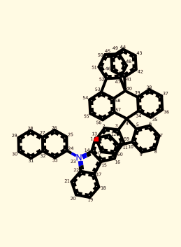 c1ccc(C2(c3ccccc3-c3ccc4c(c3)c3ccccc3n4-c3ccc4ccccc4c3)c3ccccc3C3(c4ccccc4)c4ccccc4-c4cccc2c43)cc1